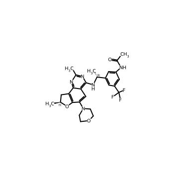 CC(=O)Nc1cc([C@@H](C)Nc2nc(C)nc3c4c(c(N5CCOCC5)cc23)O[C@@H](C)C4)cc(C(F)(F)F)c1